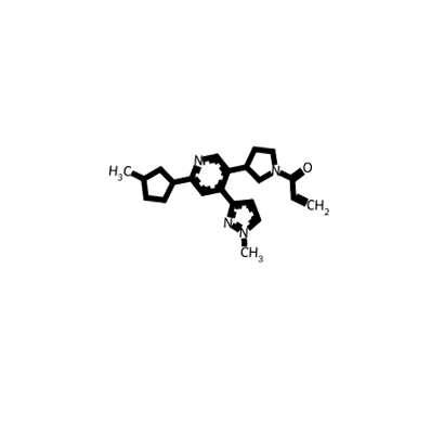 C=CC(=O)N1CCC(c2cnc(C3CCC(C)C3)cc2-c2ccn(C)n2)C1